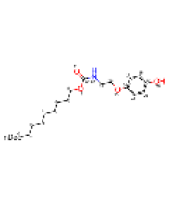 CCCCCCCCCCCCCCCCCCOC(=O)NCCOc1ccc(O)cc1